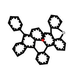 c1ccc(-c2c3ccccc3c(-c3ccccc3-c3ccc4c5c(cccc35)Oc3ccccc3-4)c3ccccc23)cc1